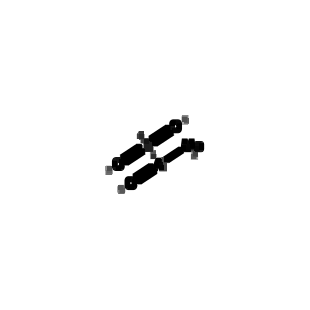 [O]=[Al][Mo].[O]=[Ti]=[O]